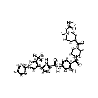 C[N+]1(CC(N)=O)CCC(C(=O)N2CCN(C(=O)c3ccc(NC(=O)c4ncc(-c5cn(-c6ncccn6)nc5C(F)(F)F)[nH]4)cc3Cl)CC2)CC1